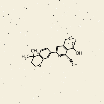 C#Cc1nc(-c2ccc3c(c2)SCCC3(C)C)cc(CC)c1C(=O)O